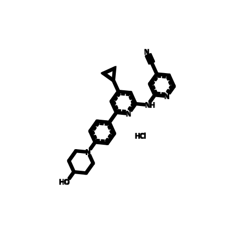 Cl.N#Cc1ccnc(Nc2cc(C3CC3)cc(-c3ccc(N4CCC(O)CC4)cc3)n2)c1